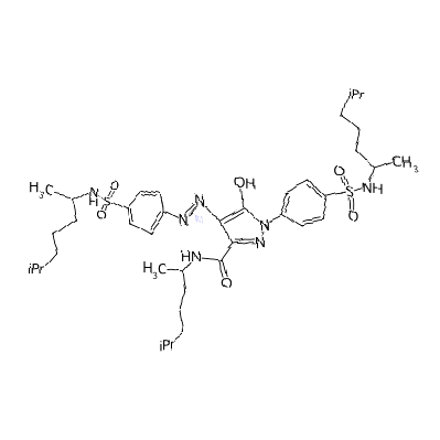 CC(C)CCCC(C)NC(=O)c1nn(-c2ccc(S(=O)(=O)NC(C)CCCC(C)C)cc2)c(O)c1/N=N/c1ccc(S(=O)(=O)NC(C)CCCC(C)C)cc1